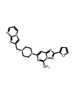 Nc1nc(N2CCN(Cc3cn4cccnc4n3)CC2)cc2nc(-c3ccco3)nn12